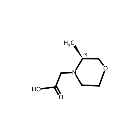 C[C@H]1COCCN1CC(=O)O